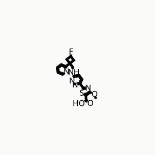 COc1nc(-c2ccc(NCC3(c4ccccn4)CC(F)C3)nn2)sc1C(=O)O